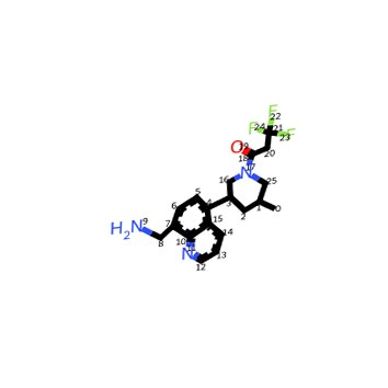 CC1CC(c2ccc(CN)c3ncccc23)CN(C(=O)CC(F)(F)F)C1